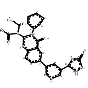 O=C(O)N(C(=O)O)c1nc2ccc(-c3cncc(-c4nc(=S)o[nH]4)c3)cc2c(=O)n1-c1ccccc1